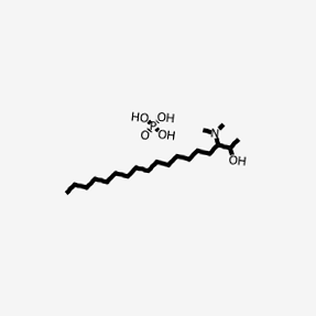 CCCCCCCCCCCCCCCC(C(C)O)N(C)C.O=P(O)(O)O